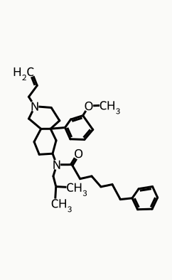 C=CCN1CCC2(c3cccc(OC)c3)CC(N(CC(C)C)C(=O)CCCCCc3ccccc3)CCC2C1